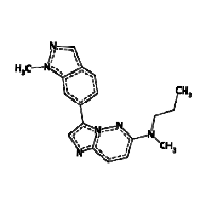 CCCN(C)c1ccc2ncc(-c3ccc4cnn(C)c4c3)n2n1